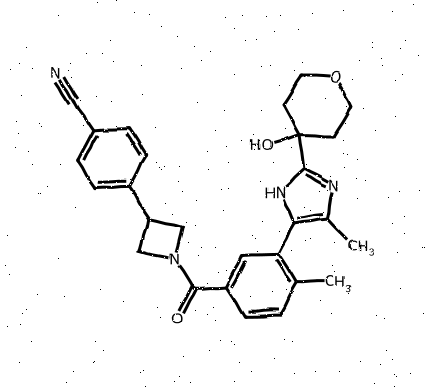 Cc1ccc(C(=O)N2CC(c3ccc(C#N)cc3)C2)cc1-c1[nH]c(C2(O)CCOCC2)nc1C